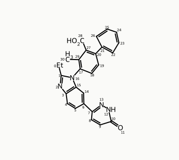 CCc1nc2ccc(-c3ccc(=O)[nH]n3)cc2n1-c1ccc(-c2ccccc2)c(C(=O)O)c1C